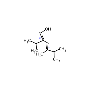 C/C(=C\C(=N/O)C(C)C)C(C)C